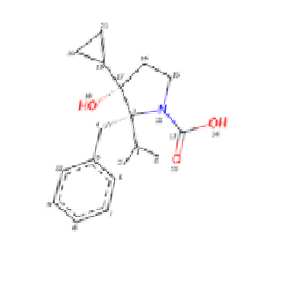 CC(C)[C@]1(Cc2ccccc2)N(C(=O)O)CC[C@]1(O)C1CC1